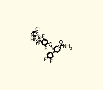 NC(=O)N1CC[C@@H](c2ccc(F)c(F)c2)[C@H](COc2cc(F)c(S(=O)(=O)Nc3ncc(Cl)s3)cc2F)C1